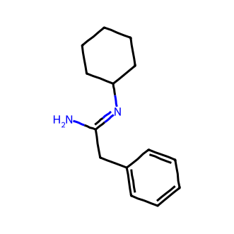 NC(Cc1ccccc1)=NC1CCCCC1